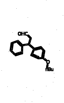 CCCCOc1ccc(C(CC=O)c2ccccc2)cc1